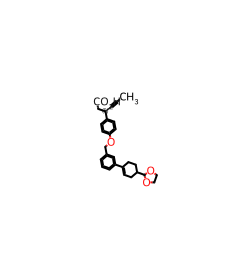 CC#C[C@H](CC(=O)O)c1ccc(OCc2cccc(C3=CCC(C4OCCO4)CC3)c2)cc1